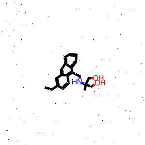 CCc1ccc2c(CNC(C)(CO)CO)c3ccccc3cc2c1